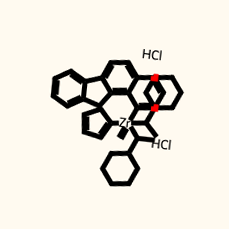 Cl.Cl.[CH2]=[Zr]([C]1=CC=CC1)([c]1cccc2ccc3c(c12)Cc1ccccc1-3)([CH](C)C1CCCCC1)[CH](C)C1CCCCC1